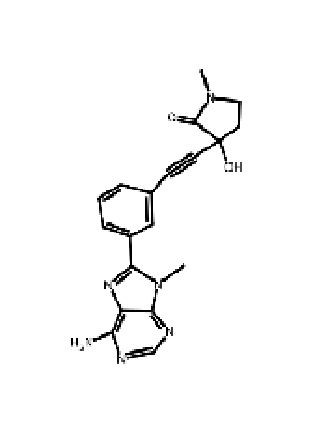 CN1CCC(O)(C#Cc2cccc(-c3nc4c(N)ncnc4n3C)c2)C1=O